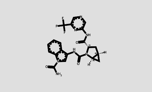 NC(=O)n1cc(NC(=O)N2[C@@H]3C[C@@H]3C[C@H]2C(=O)Nc2cncc(C(F)(F)F)n2)c2ccccc21